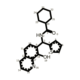 O=C(NC(c1cccs1)c1ccc2cccnc2c1O)C1CCCCC1